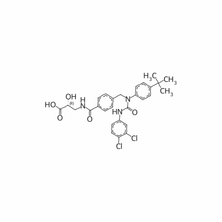 CC(C)(C)c1ccc(N(Cc2ccc(C(=O)NC[C@@H](O)C(=O)O)cc2)C(=O)Nc2ccc(Cl)c(Cl)c2)cc1